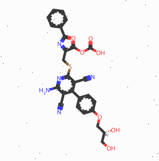 N#Cc1c(N)nc(SCc2nc(-c3ccccc3)oc2OC(=O)O)c(C#N)c1-c1ccc(OC[C@H](O)CO)cc1